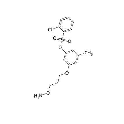 Cc1cc(OCCCON)cc(OS(=O)(=O)c2ccccc2Cl)c1